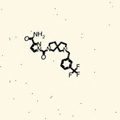 NC(=O)c1ccn(C(=O)N2CCC3(CCN(Cc4cccc(C(F)(F)F)c4)C3)C2)n1